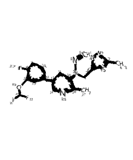 C=NN(Cc1nnc(C)s1)c1cc(-c2ccc(F)c(OC(F)F)c2)cnc1C